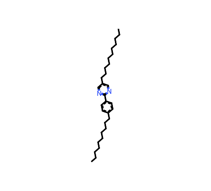 CCCCCCCCCCCc1cnc(-c2ccc(CCCCCCCCCC)cc2)nc1